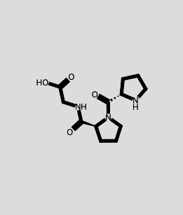 O=C(O)CNC(=O)[C@@H]1CCCN1C(=O)[C@@H]1CCCN1